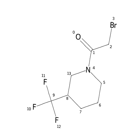 O=C(CBr)N1CCCC(C(F)(F)F)C1